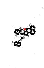 [2H]C#Cc1c(F)ccc2cccc(-c3nc4c5c(nc(OC[C@@]67CCCN6C[C@H](F)C7)nc5c3F)N3C[C@@H]5CC[C@@H](N5)[C@H]3CO4)c12